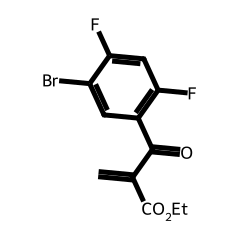 C=C(C(=O)OCC)C(=O)c1cc(Br)c(F)cc1F